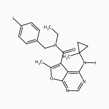 CCN(Cc1ccc(I)cc1)C(=O)c1c(C)oc2ncnc(N(I)C3(C)CC3)c12